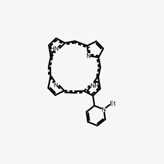 CCN1C=CC=CC1c1cc2cc3nc(cc4ccc(cc5nc(cc1[nH]2)C=C5)[nH]4)C=C3